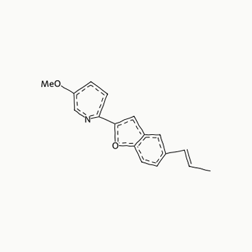 C/C=C/c1ccc2oc(-c3ccc(OC)cn3)cc2c1